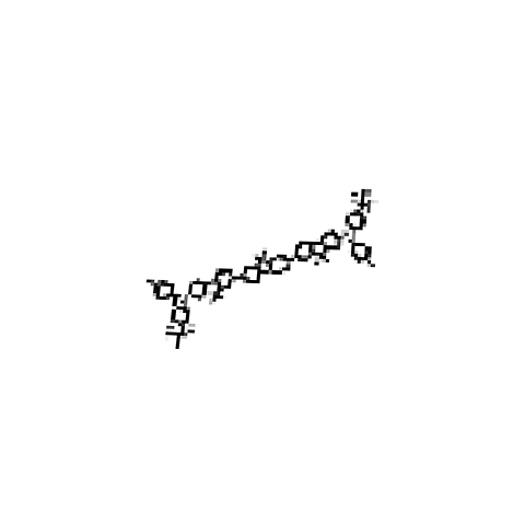 Cc1ccc(N(c2ccc(C(F)(F)F)cc2)c2ccc3c(c2)C(C)(C)c2cc(-c4ccc5c(c4)C(C)(C)c4cc(-c6ccc7c(c6)C(C)(C)c6cc(N(c8ccc(C)cc8)c8ccc(C(F)(F)F)cc8)ccc6-7)ccc4-5)ccc2-3)cc1